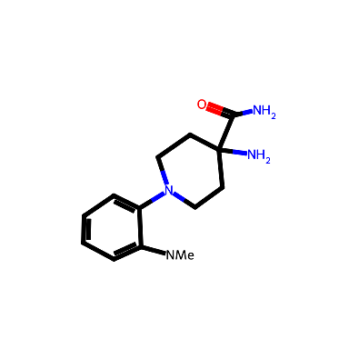 CNc1ccccc1N1CCC(N)(C(N)=O)CC1